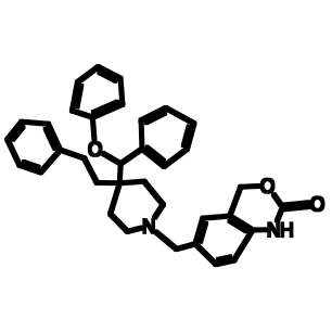 O=C1Nc2ccc(CN3CCC(CCc4ccccc4)(C(Oc4ccccc4)c4ccccc4)CC3)cc2CO1